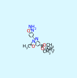 C[C@@H]1Cn2c(-c3ccc4oc(N)nc4c3)nc3cc(B4OC(C)(C)C(C)(C)O4)cc(c32)O1